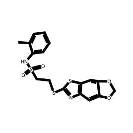 Cc1ccccc1NS(=O)(=O)CCSc1nc2cc3c(cc2s1)OCO3